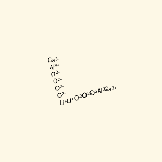 [Al+3].[Al+3].[Ga+3].[Ga+3].[Li+].[Li+].[O-2].[O-2].[O-2].[O-2].[O-2].[O-2].[O-2]